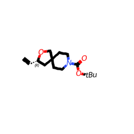 C=C[C@H]1CC2(CCN(C(=O)OC(C)(C)C)CC2)CO1